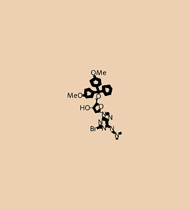 COc1ccc(C(OC[C@H]2O[C@H](n3cnc4c(N=CN(C)C)nc(Br)nc43)C[C@@H]2O)(c2ccccc2)c2ccc(OC)cc2)cc1